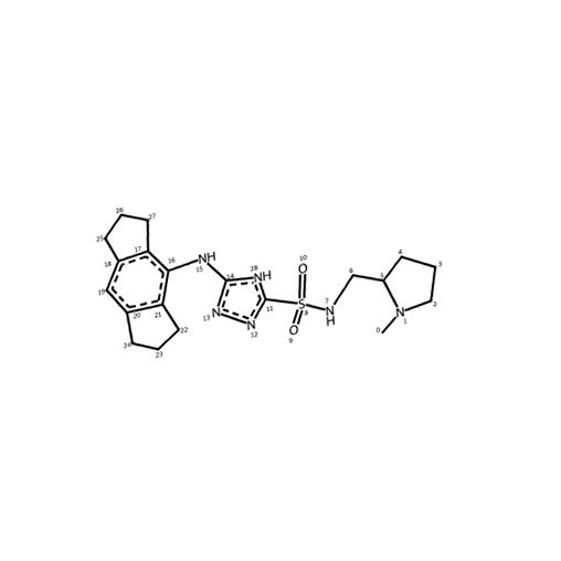 CN1CCCC1CNS(=O)(=O)c1nnc(Nc2c3c(cc4c2CCC4)CCC3)[nH]1